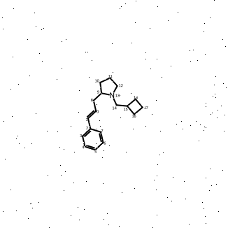 C(=Cc1ccccc1)CC1CCCN1CC1CCC1